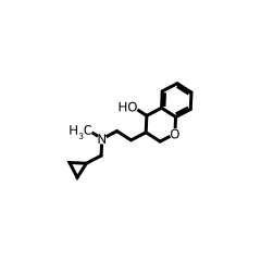 CN(CCC1COc2ccccc2C1O)CC1CC1